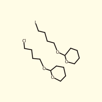 ClCCCCOC1CCCCO1.ICCCCOC1CCCCO1